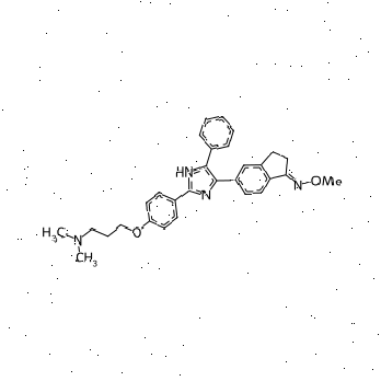 CON=C1CCc2cc(-c3nc(-c4ccc(OCCCN(C)C)cc4)[nH]c3-c3ccccc3)ccc21